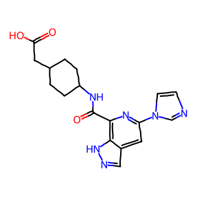 O=C(O)CC1CCC(NC(=O)c2nc(-n3ccnc3)cc3cn[nH]c23)CC1